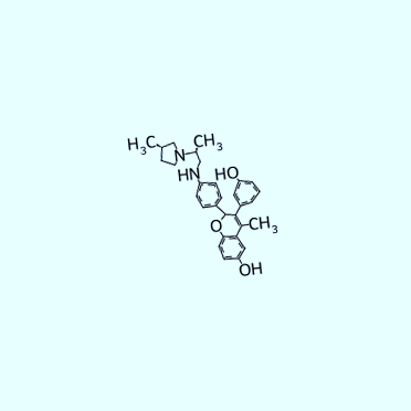 CC1=C(c2cccc(O)c2)C(c2ccc(NC[C@H](C)N3CC[C@@H](C)C3)cc2)Oc2ccc(O)cc21